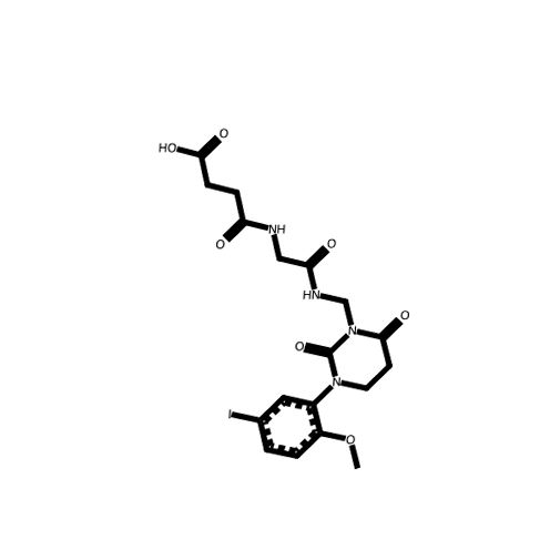 COc1ccc(I)cc1N1CCC(=O)N(CNC(=O)CNC(=O)CCC(=O)O)C1=O